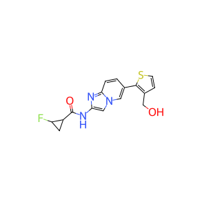 O=C(Nc1cn2cc(-c3sccc3CO)ccc2n1)C1CC1F